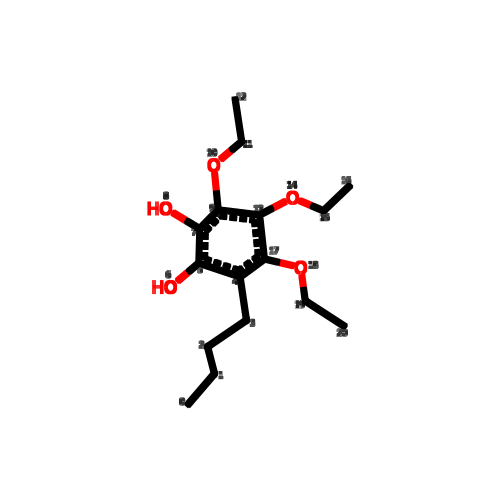 CCCCc1c(O)c(O)c(OCC)c(OCC)c1OCC